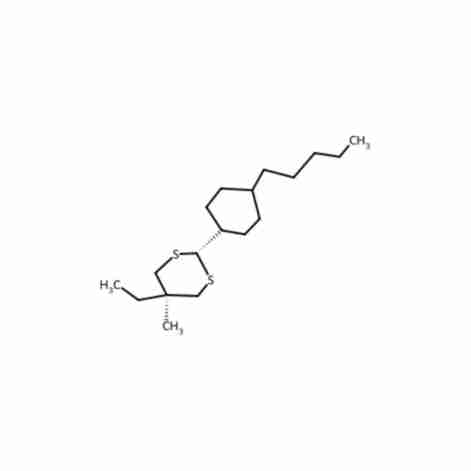 CCCCCC1CCC([C@H]2SC[C@](C)(CC)CS2)CC1